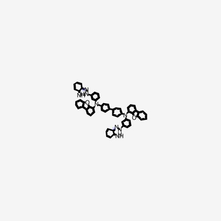 N=C1C=CC=C/C1=N/Nc1cccc(N(c2ccc(-c3ccc(N(c4cccc(N/N=C5/C=CC=CC5=N)c4)c4cccc5c4oc4ccccc45)cc3)cc2)c2cccc3c2oc2ccccc23)c1